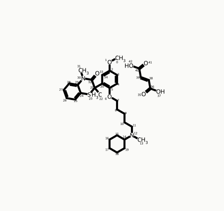 COc1ccc(OCCCCCN(C)C2CCCCC2)c(C2(C)Sc3ccccc3N(C)C2=O)c1.O=C(O)C=CC(=O)O